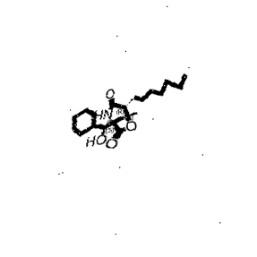 CCCCCCC[C@H]1C(=O)N[C@@]2([C@@H](O)C3CCCCC3)C(=O)O[C@@]12C